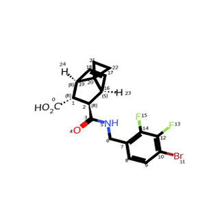 O=C(O)[C@H]1[C@H](C(=O)NCc2ccc(Br)c(F)c2F)[C@@H]2C=C[C@H]1C21CC1